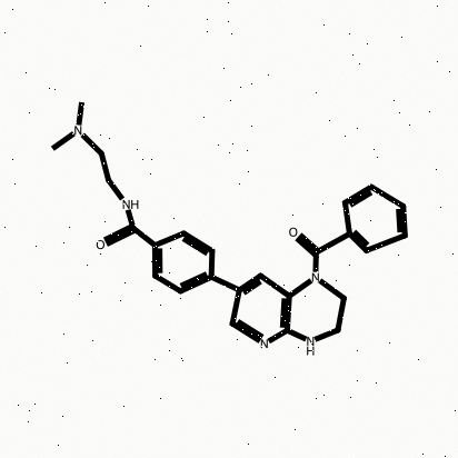 CN(C)CCNC(=O)c1ccc(-c2cnc3c(c2)N(C(=O)c2ccccc2)CCN3)cc1